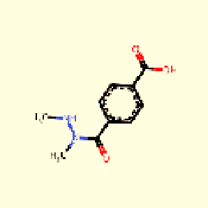 CNN(C)C(=O)c1ccc(C(=O)O)cc1